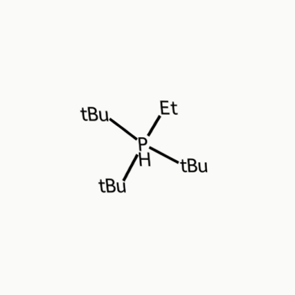 CC[PH](C(C)(C)C)(C(C)(C)C)C(C)(C)C